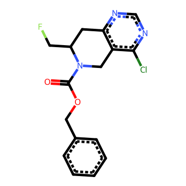 O=C(OCc1ccccc1)N1Cc2c(Cl)ncnc2CC1CF